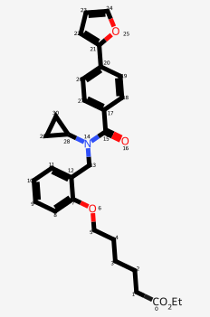 CCOC(=O)CCCCCOc1ccccc1CN(C(=O)c1ccc(-c2ccco2)cc1)C1CC1